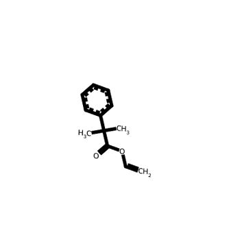 C=COC(=O)C(C)(C)c1ccccc1